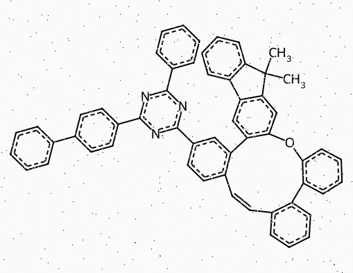 CC1(C)c2ccccc2-c2cc3c(cc21)Oc1ccccc1-c1ccccc1/C=C\c1ccc(-c2nc(-c4ccccc4)nc(-c4ccc(-c5ccccc5)cc4)n2)cc1-3